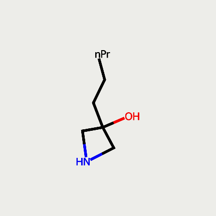 CCCCCC1(O)CNC1